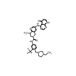 CCN1CCN(Cc2ccc(NC(=O)N3Cc4cc(Nc5ncnc6[nH]ccc(=O)c56)cnc4C(C)C3)cc2C(F)(F)F)CC1